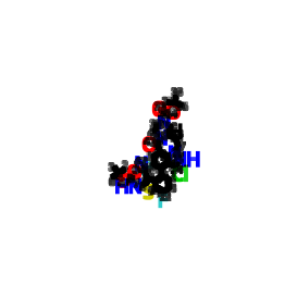 CC(C)(C)OC(=O)Nc1sc2c(F)ccc(-c3c(F)cc4c5c3C(Cl)NN5CC[C@@H]3CN(C(=O)OC(C)(C)C)CCN3C4=O)c2c1C#N